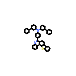 c1ccc(-c2cccc(N(c3ccc(-c4nc5ccccc5c5c4ccc4c6ccccc6sc45)cc3)c3cccc(-c4ccccc4)c3)c2)cc1